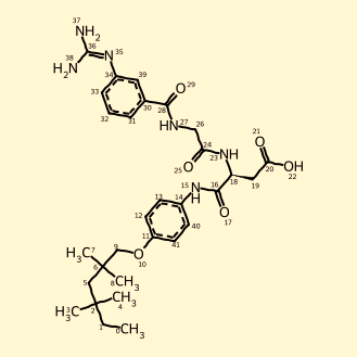 CCC(C)(C)CC(C)(C)COc1ccc(NC(=O)[C@H](CC(=O)O)NC(=O)CNC(=O)c2cccc(N=C(N)N)c2)cc1